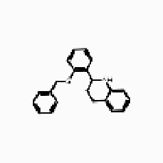 [c]1cccc(C2CCc3ccccc3N2)c1SCc1ccccc1